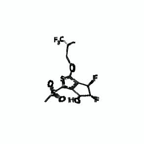 C[C@H](COc1sc(S(C)(=O)=O)c2c1[C@@H](F)[C@@H](F)[C@H]2O)C(F)(F)F